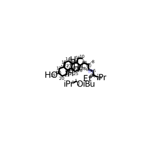 CC(C)COCC(C)C.CC[C@H](/C=C/[C@@H](C)[C@H]1CC[C@H]2[C@@H]3CC=C4C[C@@H](O)CC[C@]4(C)[C@H]3CC[C@]12C)C(C)C